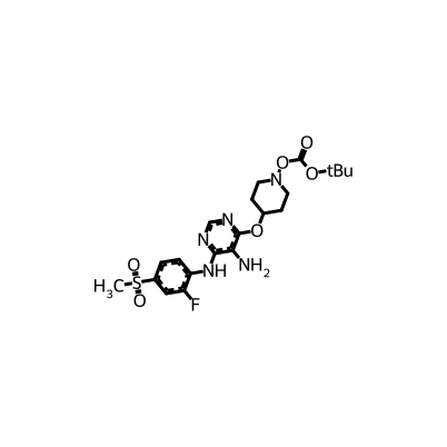 CC(C)(C)OC(=O)ON1CCC(Oc2ncnc(Nc3ccc(S(C)(=O)=O)cc3F)c2N)CC1